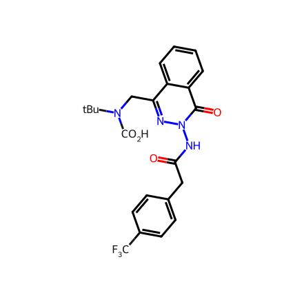 CC(C)(C)N(Cc1nn(NC(=O)Cc2ccc(C(F)(F)F)cc2)c(=O)c2ccccc12)C(=O)O